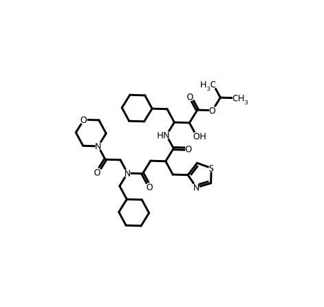 CC(C)OC(=O)C(O)C(CC1CCCCC1)NC(=O)C(CC(=O)N(CC(=O)N1CCOCC1)CC1CCCCC1)Cc1cscn1